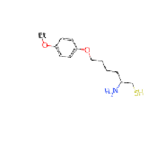 CCOc1ccc(OCCCCC(N)CS)cc1